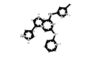 Cc1cc(Nc2nc(Sc3ccccn3)cn3c(-c4cn[nH]c4)cnc23)sn1